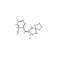 [CH2][C@H]1OC2(CCCC2)O[C@@H]1Cc1ccccc1Cl